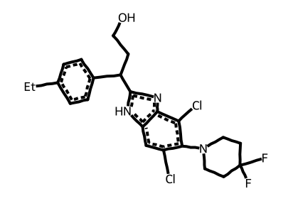 CCc1ccc(C(CCO)c2nc3c(Cl)c(N4CCC(F)(F)CC4)c(Cl)cc3[nH]2)cc1